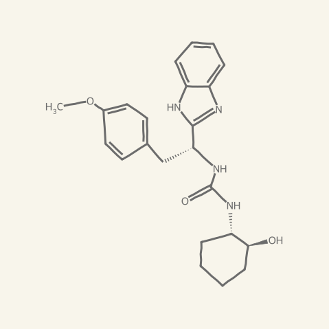 COc1ccc(C[C@@H](NC(=O)N[C@H]2CCCC[C@@H]2O)c2nc3ccccc3[nH]2)cc1